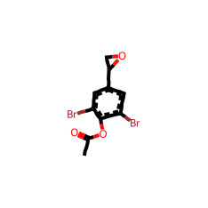 CC(=O)Oc1c(Br)cc(C2CO2)cc1Br